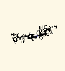 Cc1[nH]c2ccccc2c1CCNCc1ccc(/C=C/C(=O)NO[C@@H]2O[C@@H](C)[C@H](O)[C@@H](O)[C@@H]2O)cc1